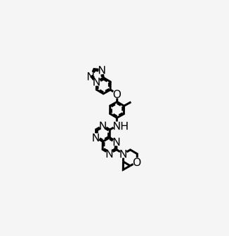 Cc1cc(Nc2ncnc3cnc(N4CCOC5CC54)nc23)ccc1Oc1ccn2ncnc2c1